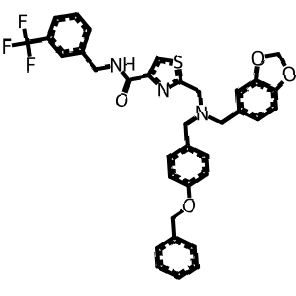 O=C(NCc1cccc(C(F)(F)F)c1)c1csc(CN(Cc2ccc(OCc3ccccc3)cc2)Cc2ccc3c(c2)OCO3)n1